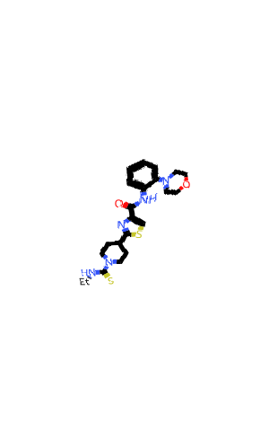 CCNC(=S)N1CCC(c2nc(C(=O)Nc3ccccc3N3CCOCC3)cs2)CC1